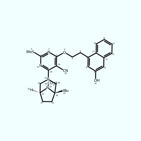 CSc1nc(OCCc2cc(O)cc3ccccc23)c(C#N)c(N2C[C@@H]3CC[C@@](C(C)(C)C)(C2)N3C(=O)O)n1